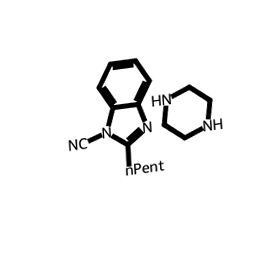 C1CNCCN1.CCCCCc1nc2ccccc2n1C#N